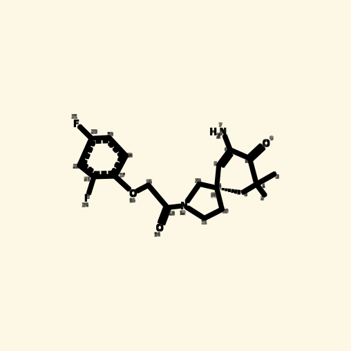 CC1(C)C[C@]2(C=C(N)C1=O)CCN(C(=O)COc1ccc(F)cc1F)C2